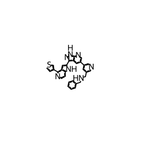 c1ccc(CNCc2cncc(-c3cnc4[nH]nc(-c5cc6c(-c7ccsc7)nccc6[nH]5)c4c3)c2)cc1